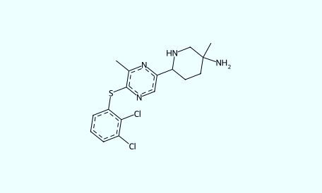 Cc1nc(C2CCC(C)(N)CN2)cnc1Sc1cccc(Cl)c1Cl